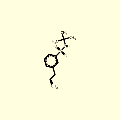 C=CCc1cccc(S(=O)(=O)NC(C)(C)C)c1